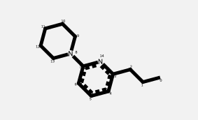 CCCc1cccc(N2CCCCC2)n1